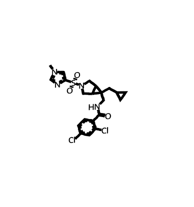 Cn1cnc(S(=O)(=O)N2CC3C(C2)C3(CNC(=O)c2ccc(Cl)cc2Cl)CC2CC2)c1